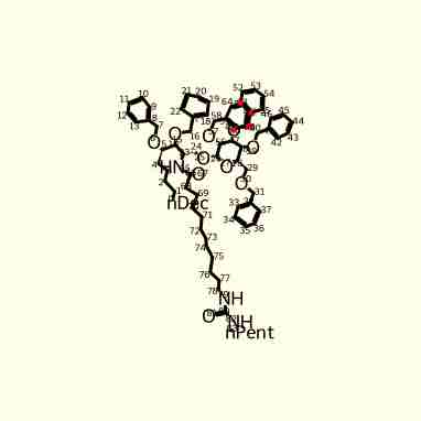 CCCCCCCCCCCCCC[C@@H](OCc1ccccc1)[C@@H](OCc1ccccc1)[C@H](CO[C@H]1O[C@H](COCc2ccccc2)[C@H](OCc2ccccc2)[C@H](OCc2ccccc2)[C@H]1OCc1ccccc1)NC(=O)CCCCCCCCCCCNC(=O)NCCCCC